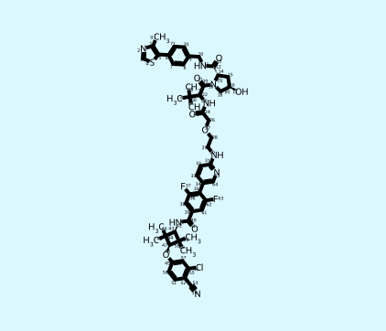 Cc1ncsc1-c1ccc(CNC(=O)[C@@H]2C[C@@H](O)CN2C(=O)C(NC(=O)COCCNc2ccc(-c3c(F)cc(C(=O)N[C@H]4C(C)(C)[C@H](Oc5ccc(C#N)c(Cl)c5)C4(C)C)cc3F)cn2)C(C)(C)C)cc1